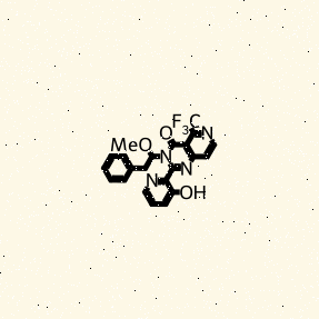 COC(Cc1ccccc1)n1c(-c2ncccc2O)nc2ccnc(C(F)(F)F)c2c1=O